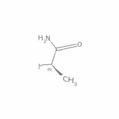 C[C@@H](I)C(N)=O